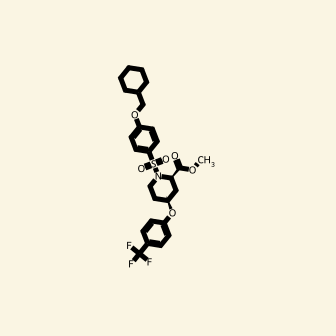 COC(=O)[C@H]1C[C@@H](Oc2ccc(C(F)(F)F)cc2)CCN1S(=O)(=O)c1ccc(OCC2CCCCC2)cc1